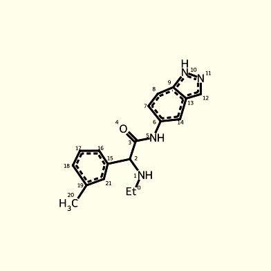 CCNC(C(=O)Nc1ccc2[nH]ncc2c1)c1cccc(C)c1